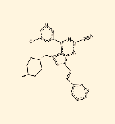 C[C@H]1CC[C@H](Cn2cc(/C=C/c3cccnc3)c3nc(C#N)nc(-c4cncc(Cl)c4)c32)CC1